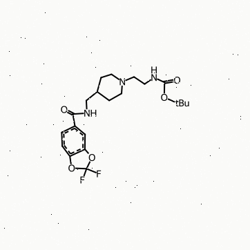 CC(C)(C)OC(=O)NCCN1CCC(CNC(=O)c2ccc3c(c2)OC(F)(F)O3)CC1